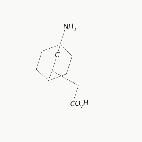 NC12CCC(CC1)C(CC(=O)O)C2